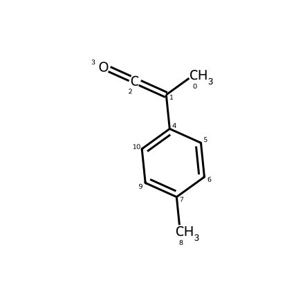 CC(=C=O)c1ccc(C)cc1